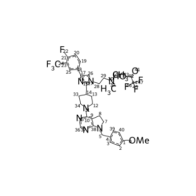 COc1ccc(CN2CCc3c(N4CCC(c5nc(-c6ccc(F)c(C(F)(F)F)c6)cn5CCN(C)C)CC4)ncnc32)cc1.O=C(O)C(F)(F)F